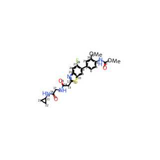 COC(=O)Nc1ccc(-c2cc3sc(CC(=O)NCC(=O)NC4CC4)nc3cc2F)cc1OC